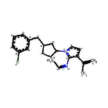 C=C(C)c1ccn(C2CCC(Cc3cccc(Cl)c3)C2)c1/N=C\C